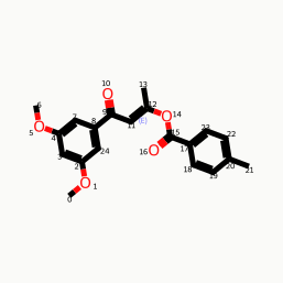 COc1cc(OC)cc(C(=O)/C=C(\C)OC(=O)c2ccc(C)cc2)c1